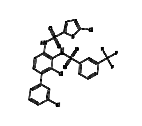 O=S(=O)(Nc1c(NS(=O)(=O)c2ccc(Cl)s2)ccc(-c2cccc(Cl)c2)c1Cl)c1cccc(C(F)(F)F)c1